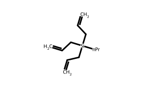 C=CC[Si](CC=C)(CC=C)CCC